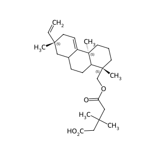 C=C[C@]1(C)CC=C2C(CCC3[C@@](C)(COC(=O)CC(C)(C)CC(=O)O)CCC[C@]23C)C1